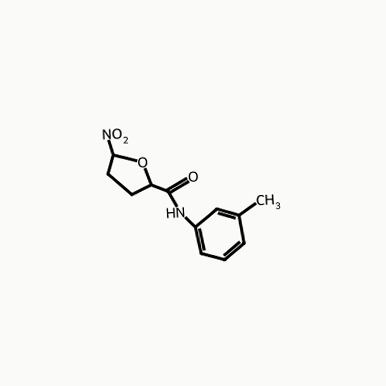 Cc1cccc(NC(=O)C2CCC([N+](=O)[O-])O2)c1